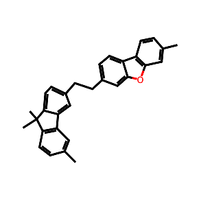 Cc1ccc2c(c1)-c1cc(CCc3ccc4c(c3)oc3cc(C)ccc34)ccc1C2(C)C